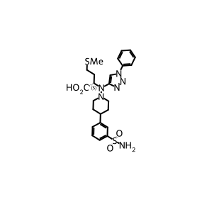 CSCC[C@@H](C(=O)O)N(c1cn(-c2ccccc2)nn1)N1CCC(c2cccc(S(N)(=O)=O)c2)CC1